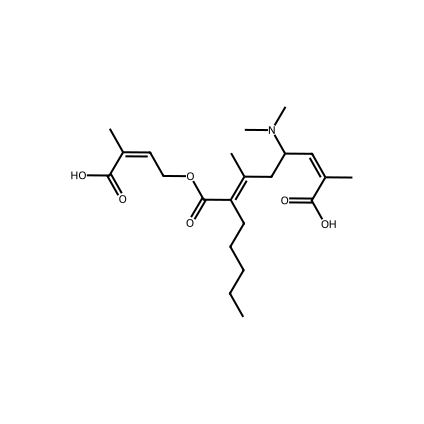 CCCCCC(C(=O)OCC=C(C)C(=O)O)=C(C)CC(C=C(C)C(=O)O)N(C)C